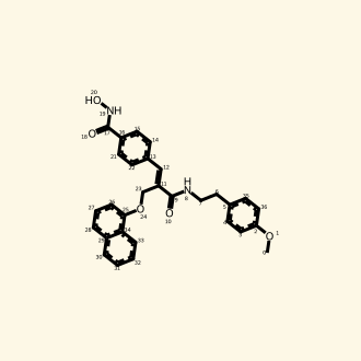 COc1ccc(CCNC(=O)/C(=C/c2ccc(C(=O)NO)cc2)COc2cccc3ccccc23)cc1